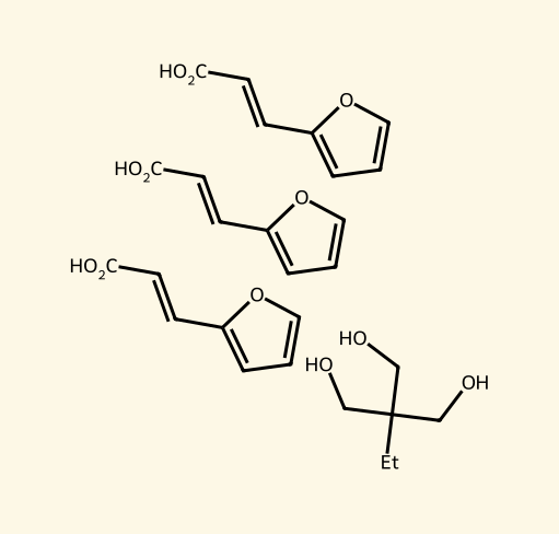 CCC(CO)(CO)CO.O=C(O)C=Cc1ccco1.O=C(O)C=Cc1ccco1.O=C(O)C=Cc1ccco1